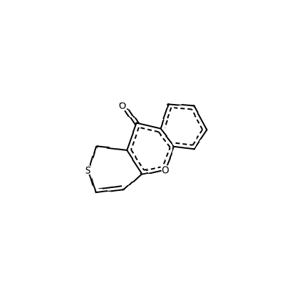 O=c1c2c(oc3ccccc13)C=CSC2